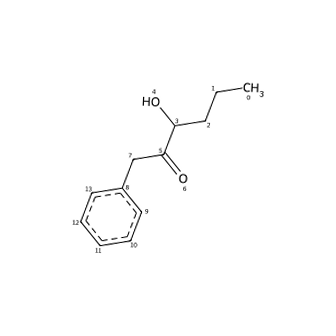 CCCC(O)C(=O)Cc1ccccc1